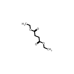 CCOC(=O)[CH]CC(=O)OCC